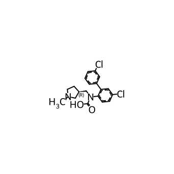 CN1CC[C@@H](CN(C(=O)O)c2ccc(Cl)cc2-c2cccc(Cl)c2)C1